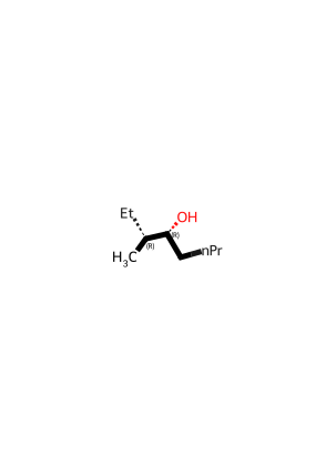 CCCC[C@@H](O)[C@H](C)CC